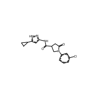 O=C(Nc1cc(C2CC2)[nH]n1)C1CC(=O)N(c2cccc(Cl)c2)C1